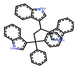 c1ccc(C(CC(c2c[nH]c3ccccc23)c2c[nH]c3ccccc23)(c2ccccc2)c2c[nH]c3ccccc23)cc1